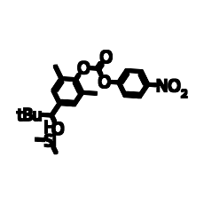 Cc1cc(C(O[SiH](C)C)C(C)(C)C)cc(C)c1OC(=O)Oc1ccc([N+](=O)[O-])cc1